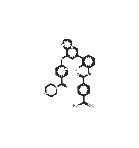 C=C(C)c1ccc(C(=O)Nc2cccc(-c3cc(Nc4ccc(C(=O)N5CCOCC5)cn4)c4nccn4c3)c2C)cc1